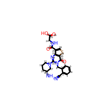 N#Cc1ccccc1Cn1c(N2CCC[C@@H](N)C2)nc2c(C(=O)NCC(=O)O)csc2c1=O